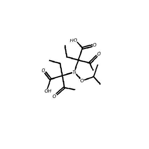 CC[C](C(C)=O)(C(=O)O)[Ti]([O]C(C)C)[C](CC)(C(C)=O)C(=O)O